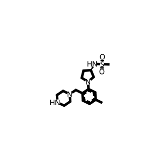 Cc1ccc(CN2CCNCC2)c(N2CC[C@@H](NS(C)(=O)=O)C2)c1